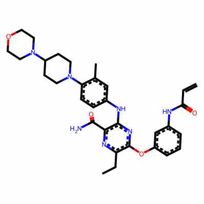 C=CC(=O)Nc1cccc(Oc2nc(Nc3ccc(N4CCC(N5CCOCC5)CC4)c(C)c3)c(C(N)=O)nc2CC)c1